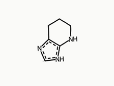 [c]1nc2c([nH]1)NCCC2